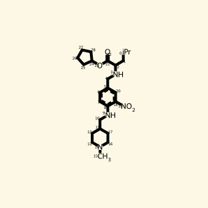 CC(C)CC(NCc1ccc(NCC2CCN(C)CC2)c([N+](=O)[O-])c1)C(=O)OC1CCCC1